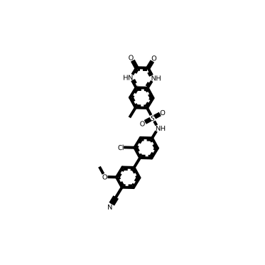 COc1cc(-c2ccc(NS(=O)(=O)c3cc4[nH]c(=O)c(=O)[nH]c4cc3C)cc2Cl)ccc1C#N